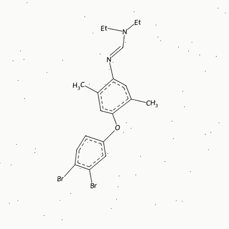 CCN(C=Nc1cc(C)c(Oc2ccc(Br)c(Br)c2)cc1C)CC